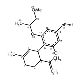 C=C(C)C1CCC(C)=CC1c1c(O)cc(CCCCC)cc1OC(C)COC